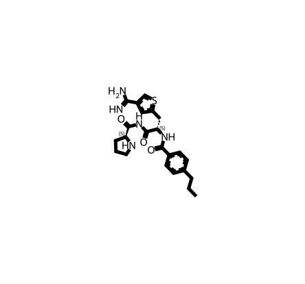 CCCc1ccc(C(=O)N[C@@H](Cc2cc(C(=N)N)cs2)C(=O)NC(=O)[C@@H]2CCCN2)cc1